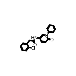 O=C(Cc1ccccc1Cl)Nc1ccc(=O)n(-c2ccccc2)c1